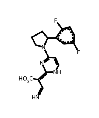 N=C/C(C(=O)O)=C1/N=C(N2CCCC2c2cc(F)ccc2F)C=CN1